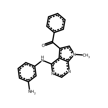 Cn1cc(C(=O)c2ccccc2)c2c(Nc3cccc(N)c3)ncnc21